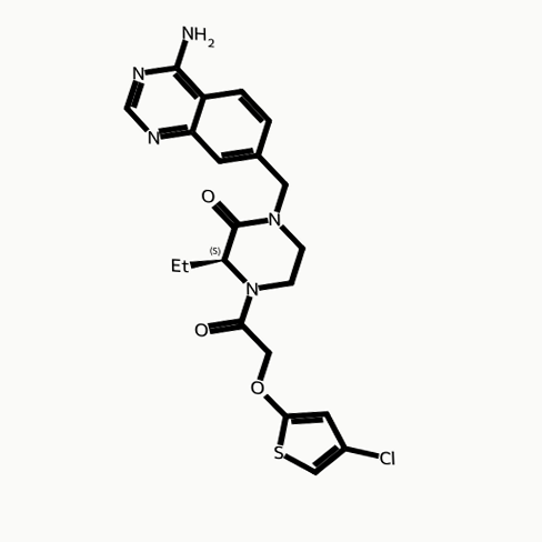 CC[C@H]1C(=O)N(Cc2ccc3c(N)ncnc3c2)CCN1C(=O)COc1cc(Cl)cs1